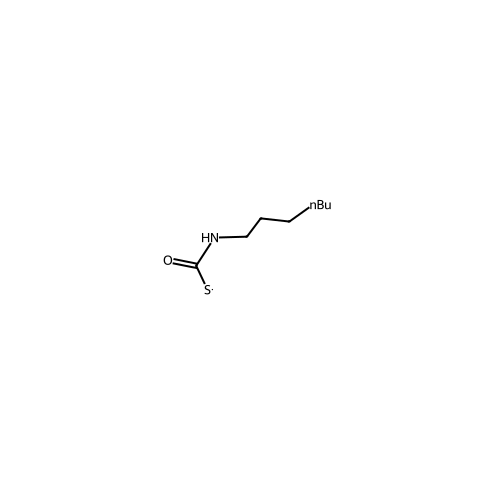 CCCCCCCNC(=O)[S]